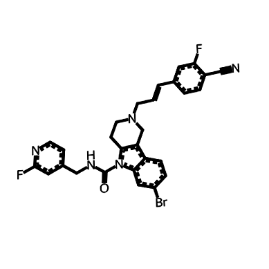 N#Cc1ccc(C=CCN2CCc3c(c4ccc(Br)cc4n3C(=O)NCc3ccnc(F)c3)C2)cc1F